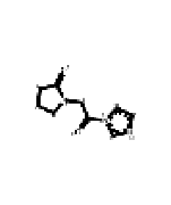 O=C1CCCN1CC(=O)n1ccnc1